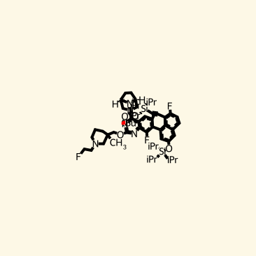 CC(C)[Si](C#Cc1c(F)ccc2cc(O[Si](C(C)C)(C(C)C)C(C)C)cc(-c3c(F)cc4c(N5C[C@H]6CC[C@@H](C5)N6C(=O)OC(C)(C)C)nc(OCC5(C)CCCN(CCF)C5)nc4c3F)c12)(C(C)C)C(C)C